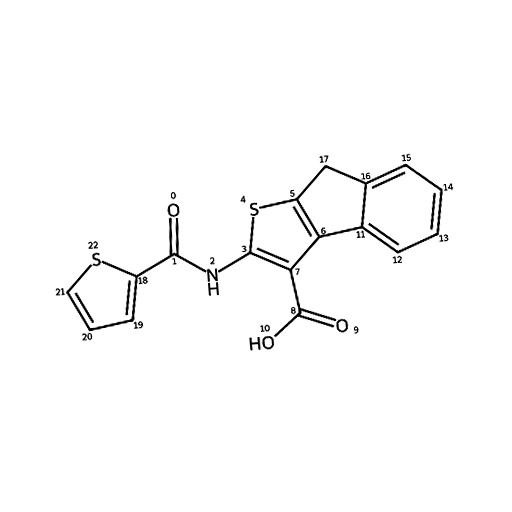 O=C(Nc1sc2c(c1C(=O)O)-c1ccccc1C2)c1cccs1